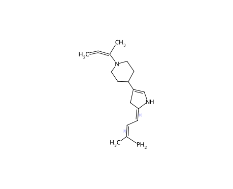 C=C=C(C)N1CCC(C2=CN/C(=C/C=C(/C)P)C2)CC1